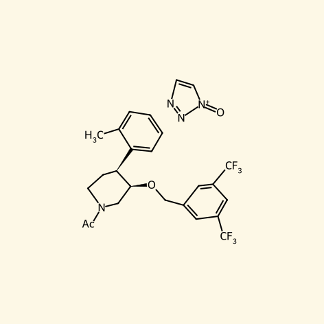 CC(=O)N1CC[C@@H](c2ccccc2C)[C@@H](OCc2cc(C(F)(F)F)cc(C(F)(F)F)c2)C1.O=[N+]1C=CN=N1